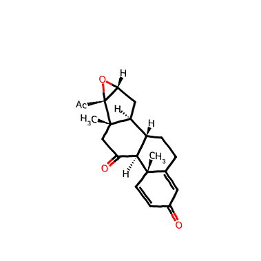 CC(=O)[C@@]12O[C@@H]1C[C@H]1[C@@H]3CCC4=CC(=O)C=C[C@]4(C)[C@H]3C(=O)C[C@@]12C